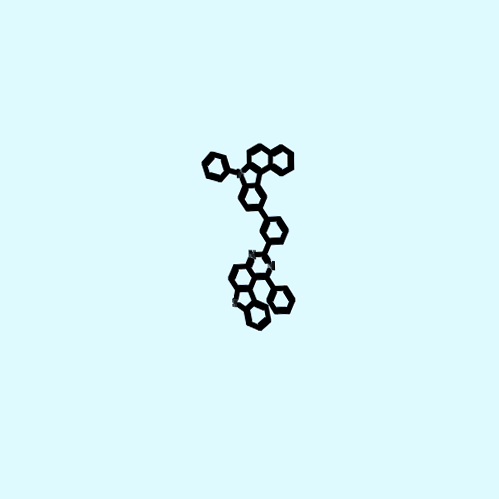 c1ccc(-c2nc(-c3cccc(-c4ccc5c(c4)c4c6ccccc6ccc4n5-c4ccccc4)c3)nc3ccc4sc5ccccc5c4c23)cc1